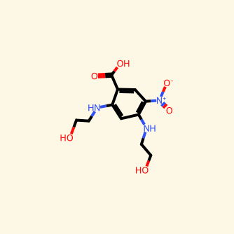 O=C(O)c1cc([N+](=O)[O-])c(NCCO)cc1NCCO